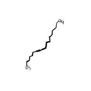 CCCCCCC#CCCCCCCCCO